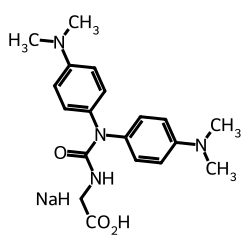 CN(C)c1ccc(N(C(=O)NCC(=O)O)c2ccc(N(C)C)cc2)cc1.[NaH]